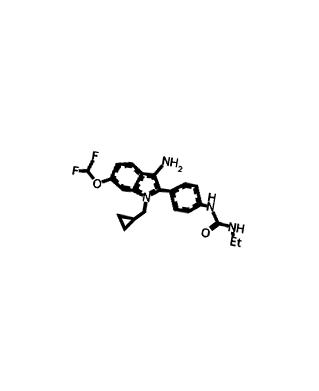 CCNC(=O)Nc1ccc(-c2c(N)c3ccc(OC(F)F)cc3n2CC2CC2)cc1